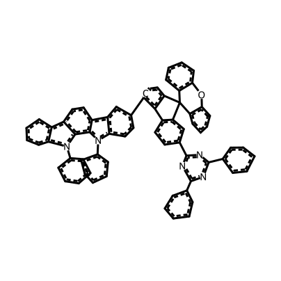 c1ccc(-c2nc(-c3ccccc3)nc(-c3ccc4c(c3)C3(c5ccccc5Oc5ccccc53)c3cccc(-c5ccc6c(c5)c5ccc7c8ccccc8n(-c8ccccc8)c7c5n6-c5ccccc5)c3-4)n2)cc1